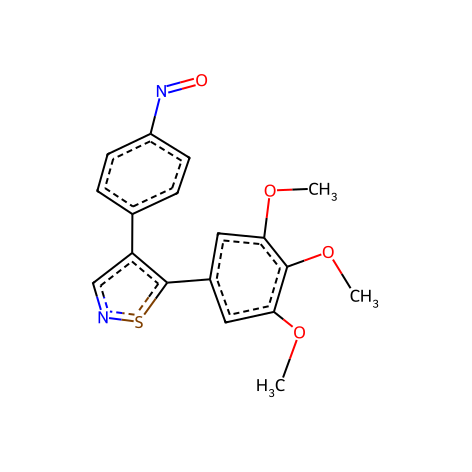 COc1cc(-c2sncc2-c2ccc(N=O)cc2)cc(OC)c1OC